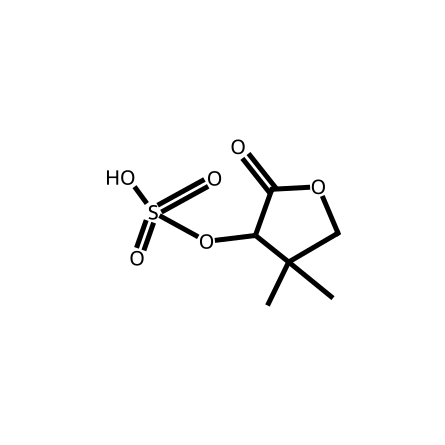 CC1(C)COC(=O)C1OS(=O)(=O)O